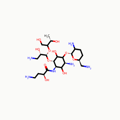 C[C@H](O)C(CO)O[C@H](O[C@@H]1C(O)C(O[C@H]2O[C@H](CN)CCC2N)[C@@H](N)C(O)[C@H]1NC(=O)[C@@H](O)CCN)[C@@H](O)CN